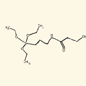 CCO[Si](CCCNC(=O)CCO)(OCC)OCC